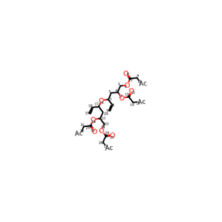 C=CC(CC(COC(=O)CC(C)=O)OC(=O)CC(C)=O)OC(C=C)CC(COC(=O)CC(C)=O)OC(=O)CC(C)=O